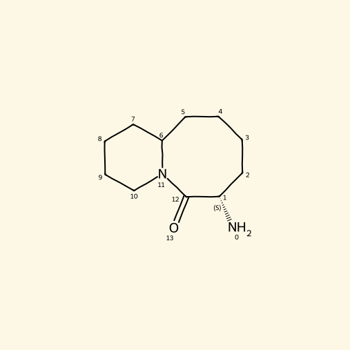 N[C@H]1CCCCC2CCCCN2C1=O